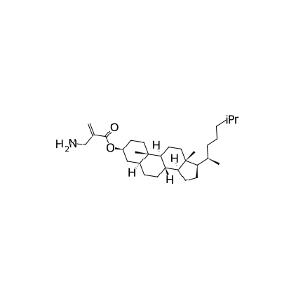 C=C(CN)C(=O)O[C@H]1CC[C@@]2(C)[C@@H](CC[C@@H]3[C@@H]2CC[C@]2(C)[C@@H]([C@H](C)CCCC(C)C)CC[C@@H]32)C1